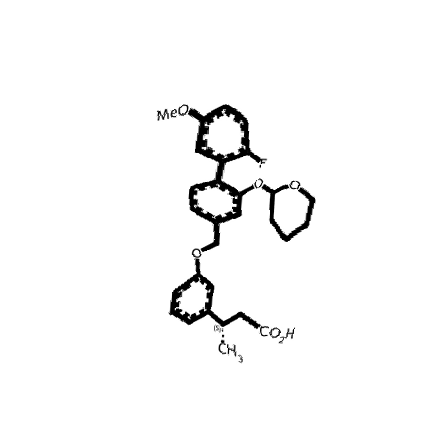 COc1ccc(F)c(-c2ccc(COc3cccc([C@@H](C)CC(=O)O)c3)cc2OC2CCCCO2)c1